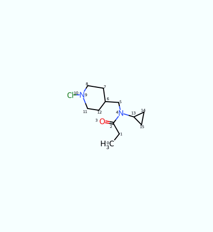 CCC(=O)N(CC1CCN(Cl)CC1)C1CC1